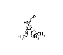 CC[C@H]1O[C@@H]2SC(NCCC3CC3)=N[C@@H]2C(OC(C)=O)[C@@H]1C